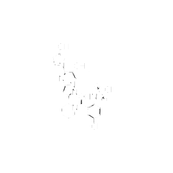 Cc1cn2nc([C@@H]3CCCCN3C(=O)c3cc(Cl)ccc3NS(C)(=O)=O)cc2nc1N1CC[C@H](C)C1